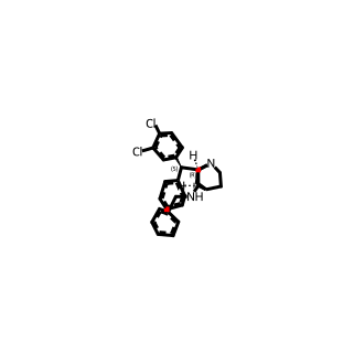 Clc1ccc([C@H](c2ccccc2)[C@@H]2[C@H](NCc3ccccc3)C3CCN2CC3)cc1Cl